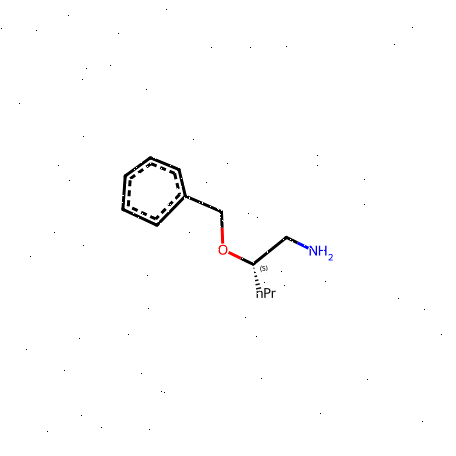 CCC[C@@H](CN)OCc1ccccc1